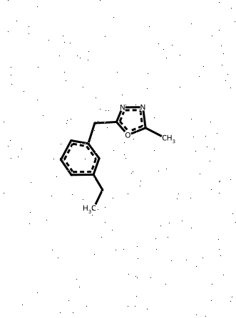 CCc1cccc(Cc2nnc(C)o2)c1